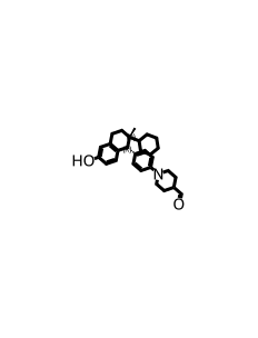 C[C@]1(C2CCCCC2)CCc2cc(O)ccc2[C@H]1c1ccc(N2CCC(C=O)CC2)cc1